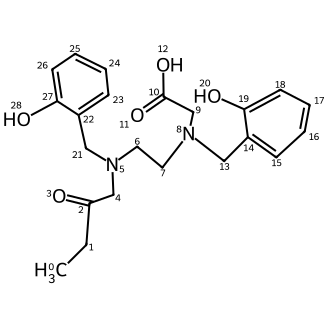 CCC(=O)CN(CCN(CC(=O)O)Cc1ccccc1O)Cc1ccccc1O